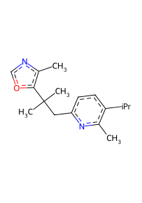 Cc1nc(CC(C)(C)c2ocnc2C)ccc1C(C)C